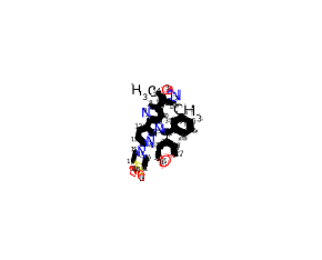 Cc1noc(C)c1-c1cnc2c3ccc(N4CCS(=O)(=O)CC4)nc3n([C@H](c3ccccc3)C3CCOCC3)c2c1